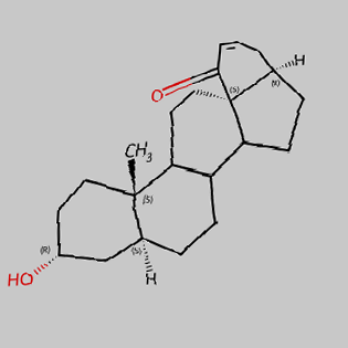 C[C@]12CC[C@@H](O)C[C@@H]1CCC1C2CC[C@]23C(=O)C=CC[C@H]2CCC13